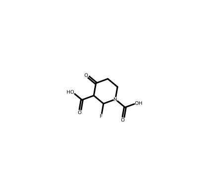 O=C(O)C1C(=O)CCN(C(=O)O)C1F